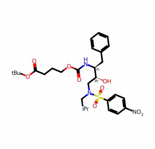 CC(C)CN(C[C@@H](O)[C@H](Cc1ccccc1)NC(=O)OCCCC(=O)OC(C)(C)C)S(=O)(=O)c1ccc([N+](=O)[O-])cc1